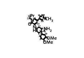 COc1ccc([C@]2(CN)CC[C@H](Nc3cc(-c4cnn(C)c4)cn(CC(C)C)c3=O)CC2)cc1OC